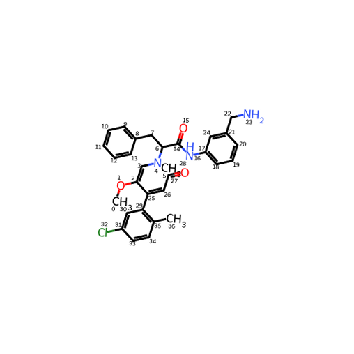 COC(=C/N(C)C(Cc1ccccc1)C(=O)Nc1cccc(CN)c1)/C(=C\C=O)c1cc(Cl)ccc1C